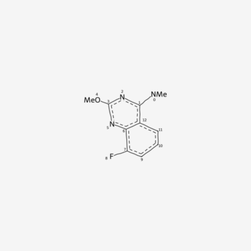 CNc1nc(OC)nc2c(F)cccc12